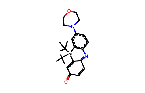 CC(C)(C)[Si]1(C(C)(C)C)C2=CC(=O)C=CC2=Nc2ccc(N3CCOCC3)cc21